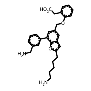 NCCCCCc1cc2cc(COc3ccccc3CC(=O)O)cc(-c3cccc(CN)c3)c2o1